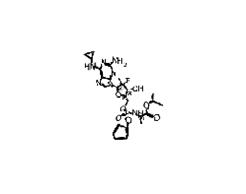 CC(C)OC(=O)[C@@H](C)NP(=O)(OC[C@H]1O[C@@H](n2cnc3c(NC4CC4)nc(N)nc32)[C@](C)(F)[C@@H]1O)Oc1ccccc1